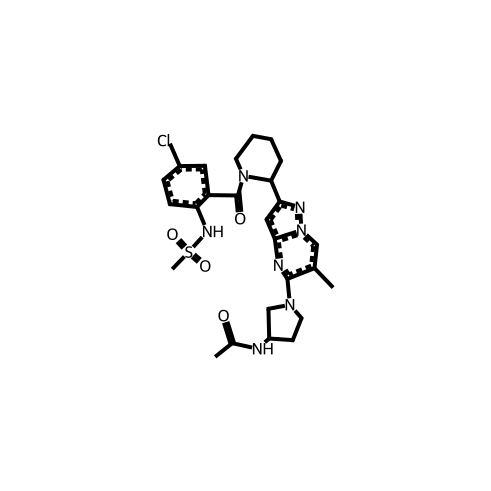 CC(=O)NC1CCN(c2nc3cc(C4CCCCN4C(=O)c4cc(Cl)ccc4NS(C)(=O)=O)nn3cc2C)C1